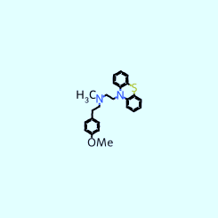 COc1ccc(CCN(C)CCN2c3ccccc3Sc3ccccc32)cc1